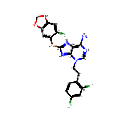 Nc1ncn(CCc2ccc(Cl)cc2F)c2nc(Sc3cc4c(cc3Br)OCO4)nc1-2